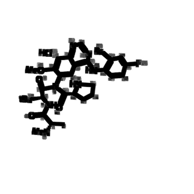 CN[C@@H](C)C(=O)N[C@H](C(=O)N(C(=O)[C@@H]1CCCN1)c1cc2c(Nc3ccc(F)cc3Br)ncnc2cc1OC)C(C)(C)C.Cl